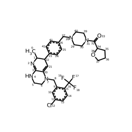 CC1N=C2NCCN(Cc3cc(Cl)ccc3C(F)(F)F)C2=CC1c1ccc(CN2CCN(C(=O)C3CCCO3)CC2)cc1